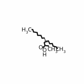 CCCCCCCC[C@@H](CCCCCC)CC(CC)C(=O)O